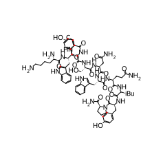 CC[C@H](C)[C@H](NC(=O)[C@H](CCC(N)=O)NC(=O)[C@H](Cc1c[nH]c2ccccc12)NC(=O)[C@H](CC(N)=O)NC(=O)[C@H](CO)NC(=O)[C@H](Cc1ccccc1)NC(=O)[C@H](CC(=O)O)NC(=O)[C@H](Cc1c[nH]c2ccccc12)NC(=O)[C@@H](N)CCCCN)C(=O)N[C@@H](Cc1ccc(O)cc1)C(=O)N1CCC[C@H]1C(N)=O